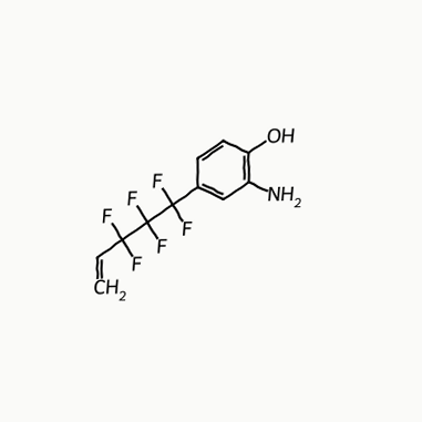 C=CC(F)(F)C(F)(F)C(F)(F)c1ccc(O)c(N)c1